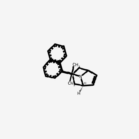 CC(C)(c1ccccc1)N1C2C=C[C@H]1CN(Cc1ccccc1)C2